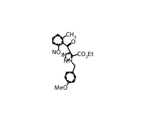 CCOC(=O)c1c(C(=O)c2c(C)cccc2[N+](=O)[O-])nnn1Cc1ccc(OC)cc1